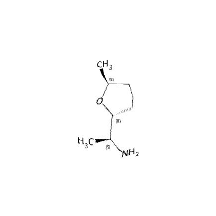 C[C@H](N)[C@H]1CC[C@H](C)O1